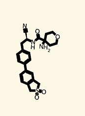 N#C[C@H](Cc1ccc(-c2ccc3c(c2)CS(=O)(=O)C3)cc1)NC(=O)C1(N)CCOCC1